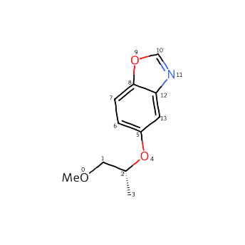 COC[C@@H](C)Oc1ccc2ocnc2c1